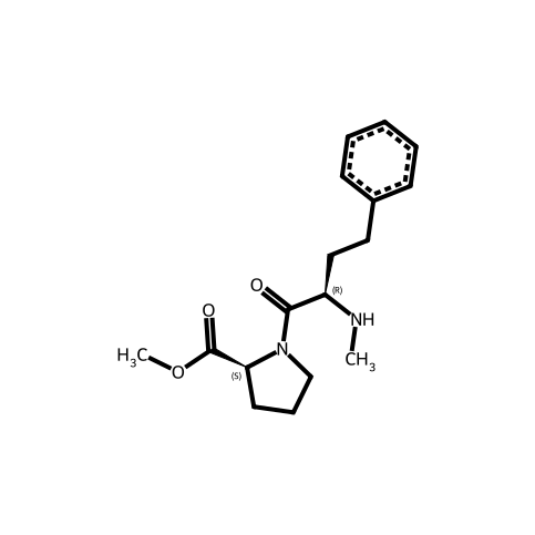 CN[C@H](CCc1ccccc1)C(=O)N1CCC[C@H]1C(=O)OC